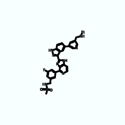 CCNCc1cncc(-c2ccc3[nH]nc(-c4nc5c(-c6cc(F)cc(CNS(C)(=O)=O)c6)nccc5[nH]4)c3c2)c1